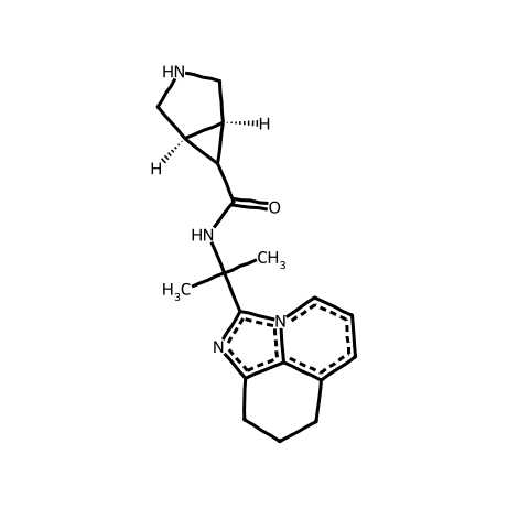 CC(C)(NC(=O)C1[C@H]2CNC[C@@H]12)c1nc2c3c(cccn13)CCC2